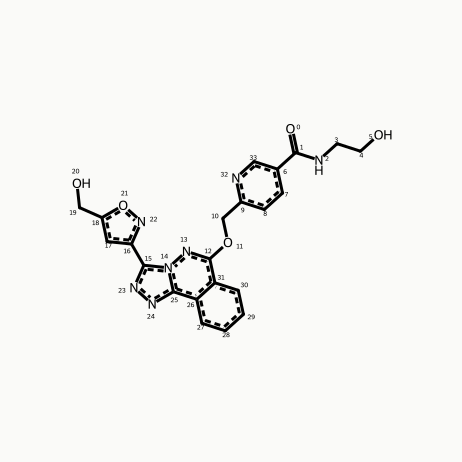 O=C(NCCO)c1ccc(COc2nn3c(-c4cc(CO)on4)nnc3c3ccccc23)nc1